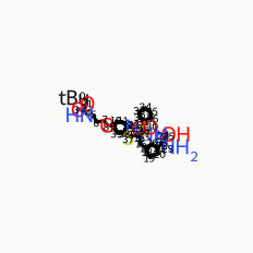 CC(C)(C)OC(=O)NCCCOc1ccc2nc(C(Cc3cccc(C(N)=NO)c3)NS(=O)(=O)c3ccccc3)sc2c1